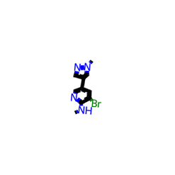 CNc1ncc(-c2cnn(C)c2)cc1Br